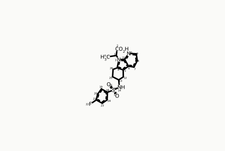 CC(C(=O)O)n1c2c(c3cccnc31)CC(NS(=O)(=O)c1ccc(F)cc1)CC2